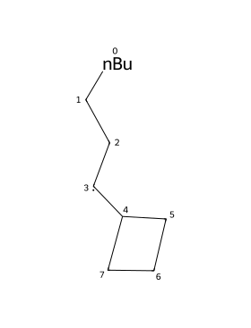 CCCCCC[CH]C1CCC1